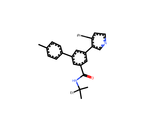 CCC(C)(C)NC(=O)c1cc(-c2ccc(C)cc2)cc(-c2cnccc2C(C)C)c1